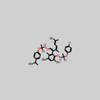 CCCCC(C)c1ccc(OC(C)(CC)PO/C=C(/C(C)=C\C=C(/C)C(C)(C)C)c2c(C)c(C(C)(C)C)cc(C(C)(C)C)c2OPC(C)(CC)Oc2ccc(Cl)cc2)cc1